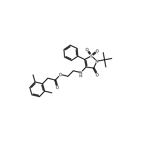 Cc1cccc(C)c1CC(=O)OCCNC1=C(c2ccccc2)S(=O)(=O)N(C(C)(C)C)C1=O